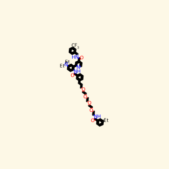 CCc1cccc(C(=O)NCCOCCOCCOCCOCCCc2cccc(C(=O)Nc3ccc(N(CC)CC)cc3-c3cc(C(=O)NCc4cccc(C(F)(F)F)c4)ccn3)c2)c1